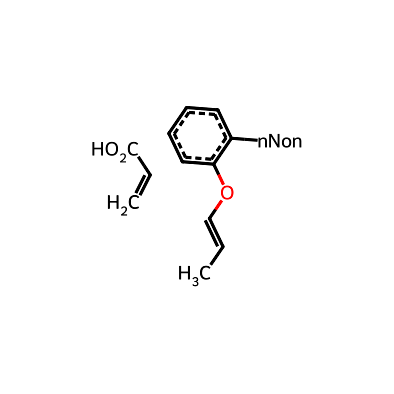 C=CC(=O)O.CC=COc1ccccc1CCCCCCCCC